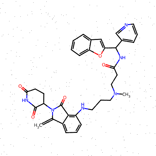 C=C1c2cccc(NCCCN(C)CCC(=O)NC(c3cccnc3)c3cc4ccccc4o3)c2C(=O)N1C1CCC(=O)NC1=O